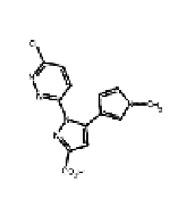 Cn1ccc(-c2cc(C(=O)O)nn2-c2ccc(Cl)nn2)c1